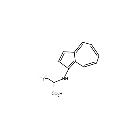 C[C@H](Nc1ccc2cccccc1-2)C(=O)O